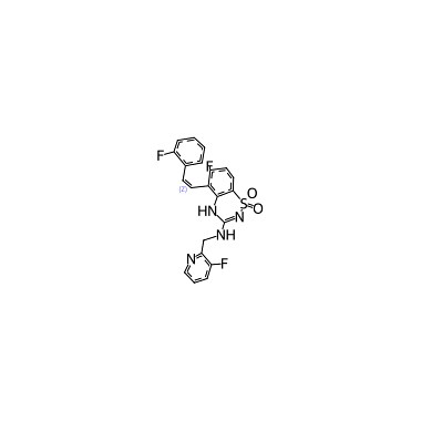 O=S1(=O)N=C(NCc2ncccc2F)Nc2c1ccc(F)c2/C=C\c1ccccc1F